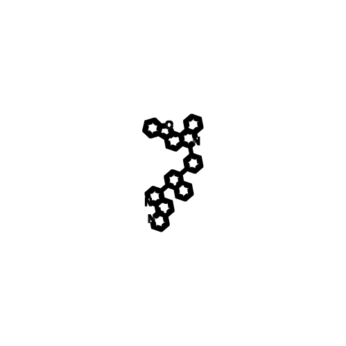 c1cc(-c2ccc(-c3ccnc4c3ccc3cccnc34)c3ccccc23)cc(-c2nc3ccccc3c3c2ccc2c4ccccc4oc23)c1